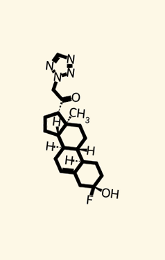 C[C@]12CC[C@H]3[C@@H](CC=C4C[C@@](O)(F)CC[C@@H]43)[C@@H]1CC[C@@H]2C(=O)Cn1ncnn1